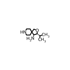 CC(C)[C@@H]1OCC2(CCNCC2)[C@@H]1N